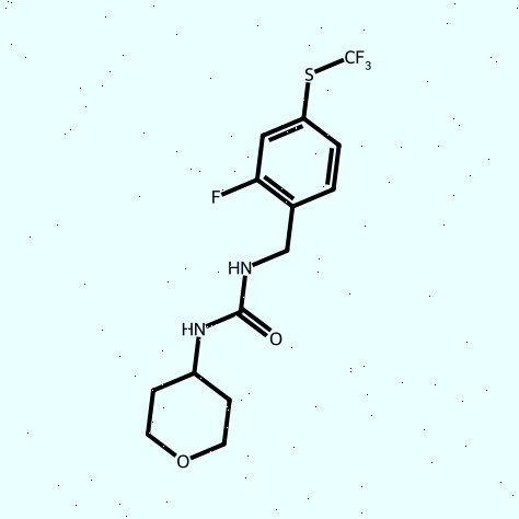 O=C(NCc1ccc(SC(F)(F)F)cc1F)NC1CCOCC1